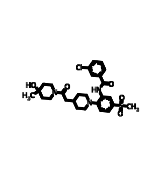 CC1(O)CCN(C(=O)CC2CCN(c3ccc(S(C)(=O)=O)cc3NC(=O)c3cccc(Cl)c3)CC2)CC1